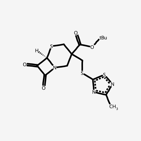 Cc1nsc(SCC2(C(=O)OC(C)(C)C)CS[C@@H]3C(=O)C(=O)N3C2)n1